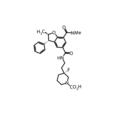 CNC(=O)c1cc(C(=O)NCC[C@]2(F)CCCN(C(=O)O)C2)cc2c1O[C@H](C)[C@H]2c1ccccc1